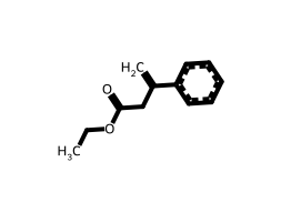 C=C(CC(=O)OCC)c1ccccc1